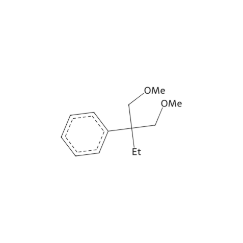 CCC(COC)(COC)c1ccccc1